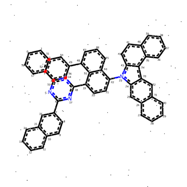 c1ccc(-c2nc(-c3ccc4ccccc4c3)nc(-c3ccc(-n4c5cc6ccccc6cc5c5c6ccccc6ccc54)c4cccc(-c5ccccc5)c34)n2)cc1